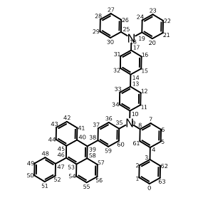 c1ccc(-c2cccc(N(c3ccc(-c4ccc(N(c5ccccc5)c5ccccc5)cc4)cc3)c3ccc(-c4c5ccccc5c(-c5ccccc5)c5ccccc45)cc3)c2)cc1